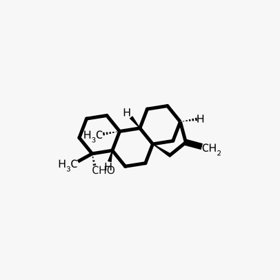 C=C1C[C@@]23CC[C@H]4[C@@](C)(CCC[C@@]4(C)C=O)[C@@H]2CC[C@@H]1C3